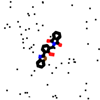 O=C1c2ccccc2C(=O)N1Cc1cccc(-c2nc3ccccc3s2)c1O